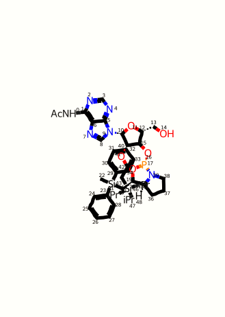 CC(=O)Nc1ncnc2c1ncn2[C@@H]1O[C@H](CO)C(O[P@@]2O[C@H](C[Si](C)(c3ccccc3)c3ccccc3)[C@@H]3CCCN32)[C@@H]1OCC[Si](C(C)C)(C(C)C)C(C)C